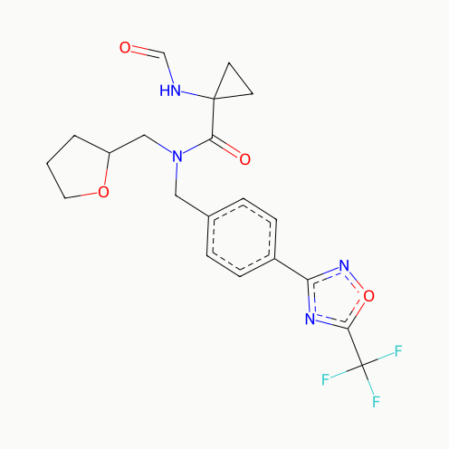 O=CNC1(C(=O)N(Cc2ccc(-c3noc(C(F)(F)F)n3)cc2)CC2CCCO2)CC1